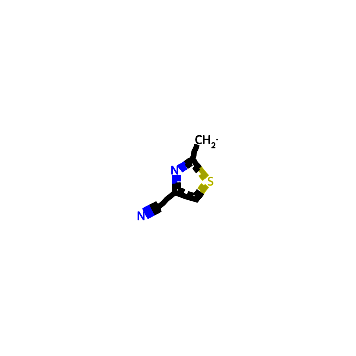 [CH2]c1nc(C#N)cs1